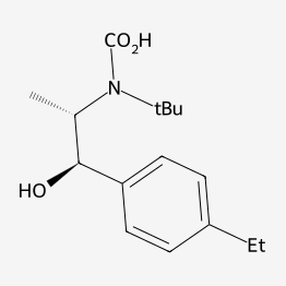 CCc1ccc([C@@H](O)[C@H](C)N(C(=O)O)C(C)(C)C)cc1